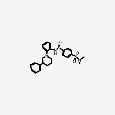 CN(C)S(=O)(=O)c1ccc([S+]([O-])Nc2ccccc2N2CCCC(c3ccccc3)C2)cc1